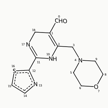 O=CC1=C(CN2CCOCC2)NC(c2nccs2)=NC1